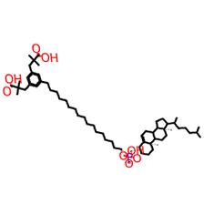 CC(C)CCCC(C)C1CCC2C3CC=C4C[C@@H](OP(=O)(O)OCCCCCCCCCCCCCCCCCc5cc(CC(C)(C)C(=O)O)cc(CC(C)(C)C(=O)O)c5)CC[C@]4(C)C3CC[C@]12C